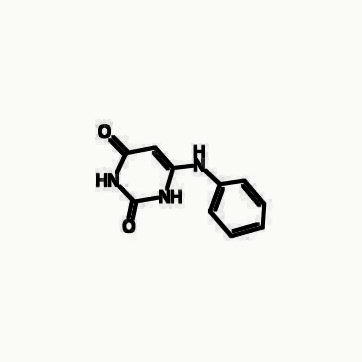 O=c1cc(Nc2ccccc2)[nH]c(=O)[nH]1